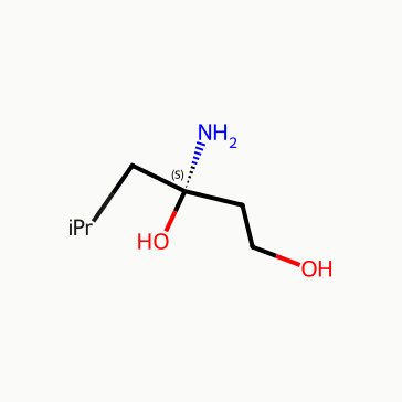 CC(C)C[C@](N)(O)CCO